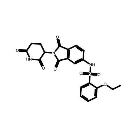 CCOc1ccccc1S(=O)(=O)Nc1ccc2c(c1)C(=O)N(C1CCC(=O)NC1=O)C2=O